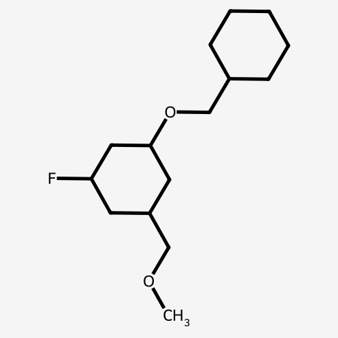 COCC1CC(F)CC(OCC2CCCCC2)C1